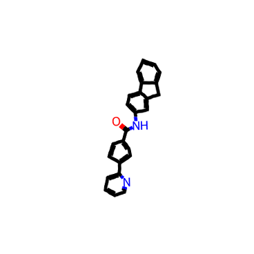 O=C(Nc1ccc2c(c1)Cc1ccccc1-2)c1ccc(-c2ccccn2)cc1